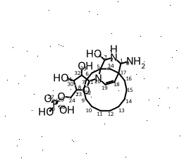 NC1NC(O)C23CCCCCCCCCCCC1(C=CN2C1OC(COP(=O)(O)O)C(O)C1O)C3